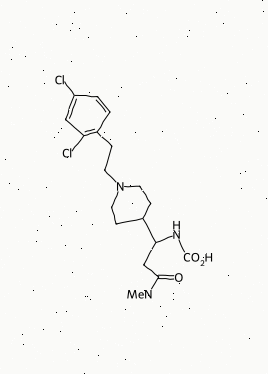 CNC(=O)CC(NC(=O)O)C1CCN(CCc2ccc(Cl)cc2Cl)CC1